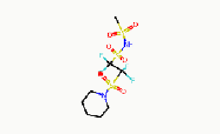 CS(=O)(=O)NS(=O)(=O)C(F)(F)C(F)(F)S(=O)(=O)N1CCCCC1